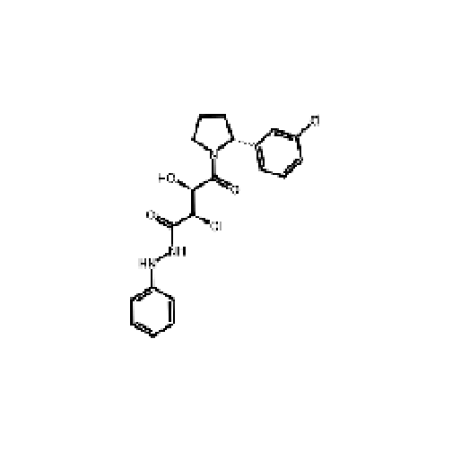 O=C(NNc1ccccc1)[C@H](O)[C@@H](O)C(=O)N1CCC[C@@H]1c1cccc(Cl)c1